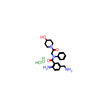 Cl.Cl.NCc1ccc(N)c(C(=O)N(CC(=O)N2CCC(O)CC2)c2ccccc2)c1